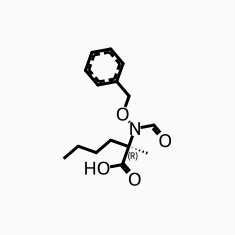 CCCC[C@](C)(C(=O)O)N(C=O)OCc1ccccc1